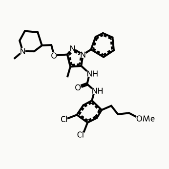 COCCCc1cc(Cl)c(Cl)cc1NC(=O)Nc1c(C)c(OCC2CCCN(C)C2)nn1-c1ccccc1